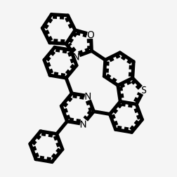 c1ccc(-c2cc(-c3ccccc3)nc(-c3cccc4sc5ccc(-c6nc7ccccc7o6)cc5c34)n2)cc1